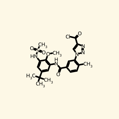 COc1c(NC(=O)c2ccc(C)c(-n3cc(C(=O)Cl)nn3)c2)cc(C(C)(C)C)cc1NS(C)(=O)=O